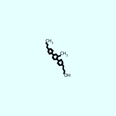 CCCCc1ccc(-c2ccc(-c3ccc(CCCCO)cc3)c(CC)c2)cc1